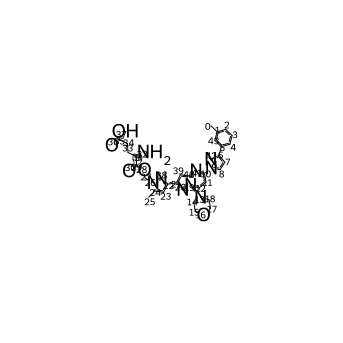 Cc1cccc(-c2ccn(-c3cc(N4CCOCC4)n4nc(-c5cc(C)n(COC(=O)[C@@H](N)CCC(=O)O)n5)cc4n3)n2)c1